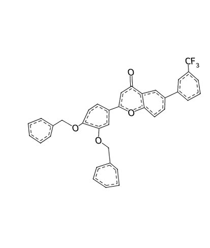 O=c1cc(-c2ccc(OCc3ccccc3)c(OCc3ccccc3)c2)oc2ccc(-c3cccc(C(F)(F)F)c3)cc12